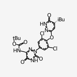 CC[C@@H](C)c1cc(Oc2c(Cl)cc(-n3nc(NC(=O)OC(C)(C)C)c(=O)[nH]c3=O)cc2Cl)n[nH]c1=O